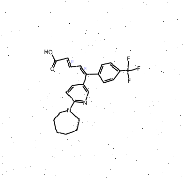 O=C(O)/C=C/C=C(/c1ccc(C(F)(F)F)cc1)c1ccc(N2CCCCCC2)nc1